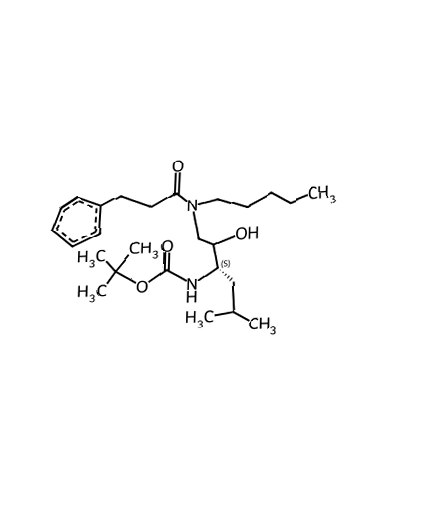 CCCCCN(CC(O)[C@H](CC(C)C)NC(=O)OC(C)(C)C)C(=O)CCc1ccccc1